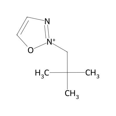 CC(C)(C)C[n+]1ncco1